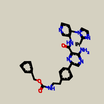 CC(C)c1nccn1-c1ccncc1NC(=O)c1nc(-c2ccc(CCNC(=O)OCc3ccccc3)cc2)cnc1N